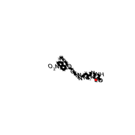 CCN1C(=O)CNc2ncc(-c3ccc(-c4ncn(CCOCCOCCN(CN(C)C)c5ccc([N+](=O)[O-])c6ccccc56)n4)nc3C)nc21